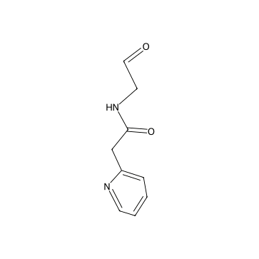 O=CCNC(=O)Cc1ccccn1